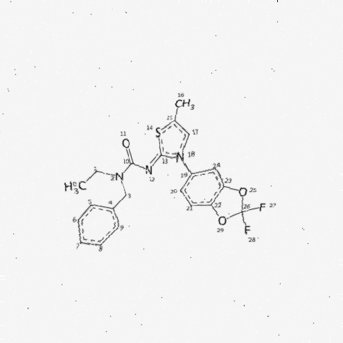 CCN(Cc1ccccc1)C(=O)N=c1sc(C)cn1-c1ccc2c(c1)OC(F)(F)O2